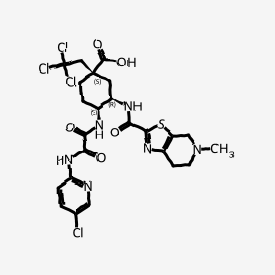 CN1CCc2nc(C(=O)N[C@@H]3C[C@@](CC(Cl)(Cl)Cl)(C(=O)O)CC[C@@H]3NC(=O)C(=O)Nc3ccc(Cl)cn3)sc2C1